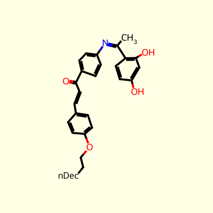 CCCCCCCCCCCCOc1ccc(C=CC(=O)c2ccc(N=C(C)c3ccc(O)cc3O)cc2)cc1